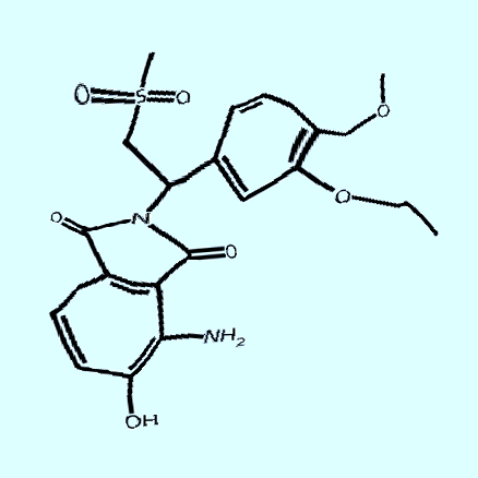 CCOc1cc(C(CS(C)(=O)=O)N2C(=O)c3ccc(O)c(N)c3C2=O)ccc1OC